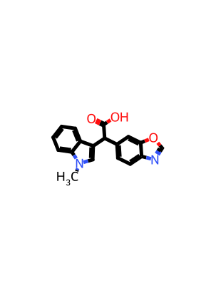 Cn1cc(C(C(=O)O)c2ccc3ncoc3c2)c2ccccc21